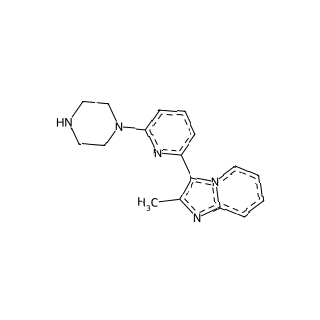 Cc1nc2ccccn2c1-c1cccc(N2CCNCC2)n1